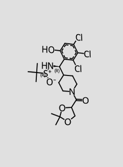 CC1(C)OCC(C(=O)N2CCC([C@@H](N[S@@+]([O-])C(C)(C)C)c3c(O)cc(Cl)c(Cl)c3Cl)CC2)O1